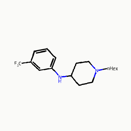 CCCCCCN1CCC(Nc2cccc(C(F)(F)F)c2)CC1